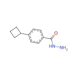 NNC(=O)c1ccc(C2CCC2)cc1